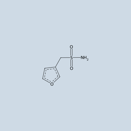 NS(=O)(=O)Cc1ccoc1